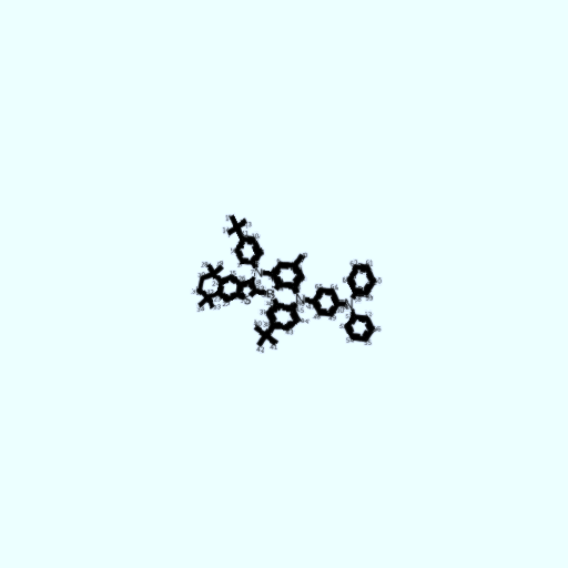 Cc1cc2c3c(c1)N(c1ccc(C(C)(C)C)cc1)c1c(sc4cc5c(cc14)C(C)(C)CCC5(C)C)B3c1cc(C(C)(C)C)ccc1N2c1ccc(N(c2ccccc2)c2ccccc2)cc1